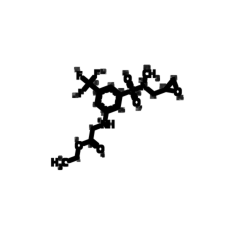 CCOC(=O)CNc1cc(C(F)(F)F)cc(S(=O)(=O)N(C)CC2CO2)c1